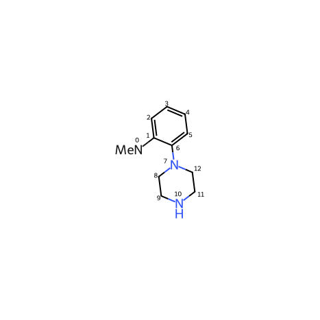 CNc1ccccc1N1CCNCC1